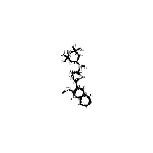 COc1nc2ccccc2cc1-c1nnc(N(C)C2CC(C)(C)NC(C)(C)C2)s1